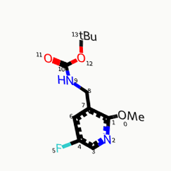 COc1ncc(F)cc1CNC(=O)OC(C)(C)C